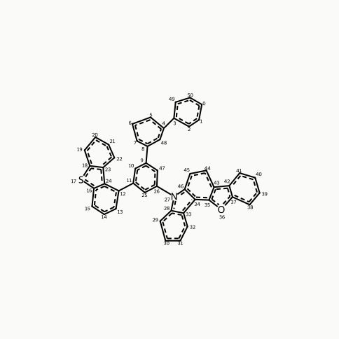 c1ccc(-c2cccc(-c3cc(-c4cccc5sc6ccccc6c45)cc(-n4c5ccccc5c5c6oc7ccccc7c6ccc54)c3)c2)cc1